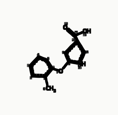 Cc1ccccc1Oc1cc(C(=O)O)c[nH]1